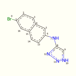 Brc1ccc2cc(Nc3c[nH]nn3)ccc2c1